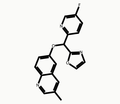 Cc1cnc2ccc(OC(c3ccc(F)cn3)c3ncco3)cc2c1